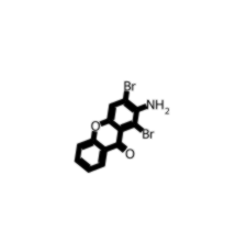 Nc1c(Br)cc2oc3ccccc3c(=O)c2c1Br